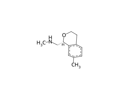 CNC[C@@H]1OCCc2ccc(C)cc21